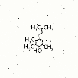 CC(C)=CCc1cc(C)c(O)c(C)c1C